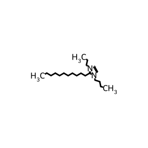 CCCCCCCCCCCc1n(CCCC)cc[n+]1CCC